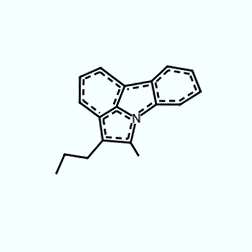 CCCc1c(C)n2c3ccccc3c3cccc1c32